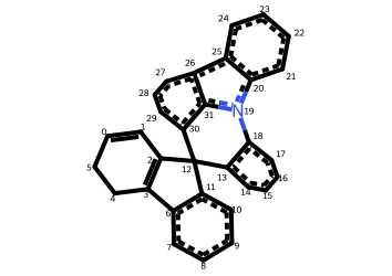 C1=CC2=C(CC1)c1ccccc1C21c2ccccc2-n2c3ccccc3c3cccc1c32